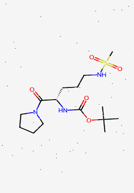 CC(C)(C)OC(=O)N[C@@H](CCCNS(C)(=O)=O)C(=O)N1CCCC1